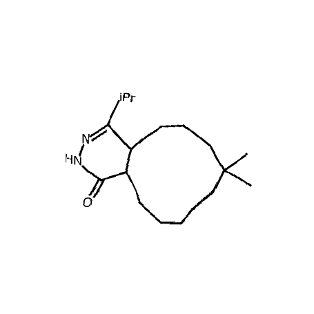 CC(C)C1=NNC(=O)C2CCCCC(C)(C)CCCC12